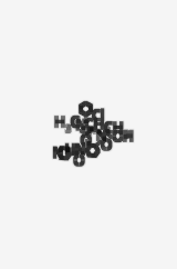 CC(CO)N1C[C@@H](C)[C@H](CN(C)Cc2ccccc2Cl)Oc2c(NC(=O)c3ccncc3)cccc2C1=O